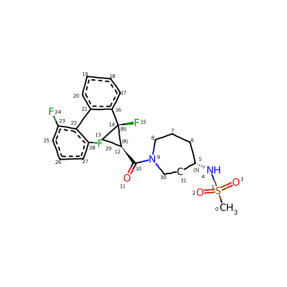 CS(=O)(=O)N[C@H]1CCCN(C(=O)[C@H]2C[C@]2(F)c2ccccc2-c2c(F)cccc2F)CC1